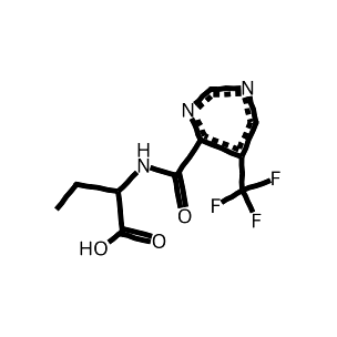 CCC(NC(=O)c1ncncc1C(F)(F)F)C(=O)O